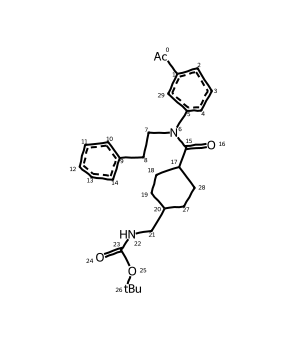 CC(=O)c1cccc(N(CCc2ccccc2)C(=O)C2CCC(CNC(=O)OC(C)(C)C)CC2)c1